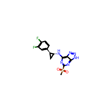 CS(=O)(=O)c1nc(N[C@@H]2C[C@H]2c2ccc(F)c(F)c2)c2nn[nH]c2n1